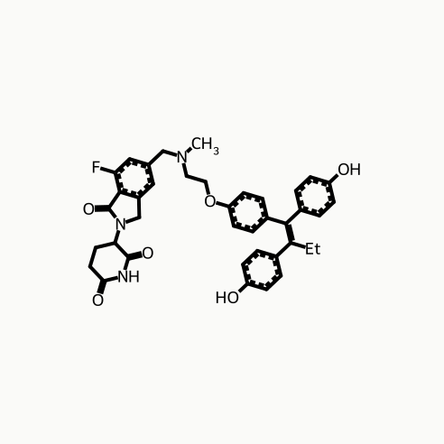 CCC(=C(c1ccc(O)cc1)c1ccc(OCCN(C)Cc2cc(F)c3c(c2)CN(C2CCC(=O)NC2=O)C3=O)cc1)c1ccc(O)cc1